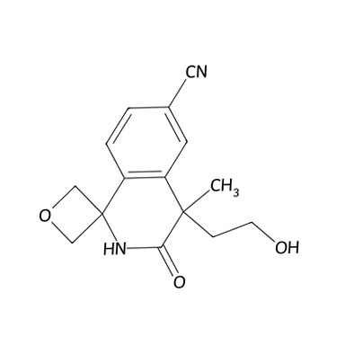 CC1(CCO)C(=O)NC2(COC2)c2ccc(C#N)cc21